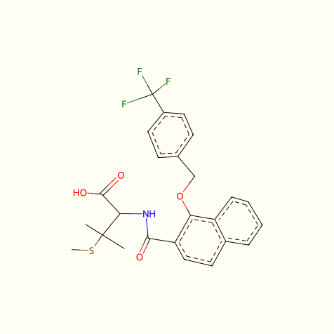 CSC(C)(C)C(NC(=O)c1ccc2ccccc2c1OCc1ccc(C(F)(F)F)cc1)C(=O)O